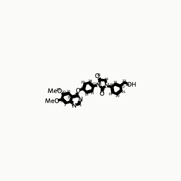 COc1cc2ncnc(Oc3ccc(N4C(=O)CN(c5cccc(CO)c5)C4=O)cc3)c2cc1OC